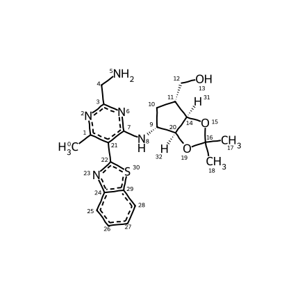 Cc1nc(CN)nc(N[C@@H]2C[C@H](CO)[C@H]3OC(C)(C)O[C@H]32)c1-c1nc2ccccc2s1